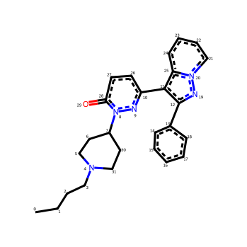 CCCCN1CCC(n2nc(-c3c(-c4ccccc4)nn4ccccc34)ccc2=O)CC1